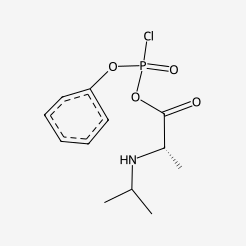 CC(C)N[C@@H](C)C(=O)OP(=O)(Cl)Oc1ccccc1